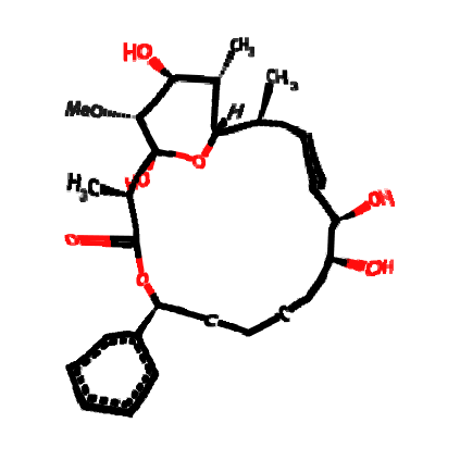 CO[C@@H]1[C@@H](O)[C@H](C)[C@H]2O[C@]1(O)[C@H](C)C(=O)O[C@H](c1ccccc1)CCCC[C@H](O)[C@H](O)/C=C/[C@@H]2C